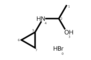 Br.CC(O)NC1CC1